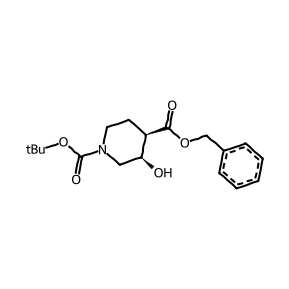 CC(C)(C)OC(=O)N1CC[C@@H](C(=O)OCc2ccccc2)[C@@H](O)C1